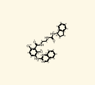 O=C(NCCNC(=O)c1c(Cl)ccc(Nc2ncc3ccccc3n2)c1Cl)N[C@@H]1CCc2ccccc21